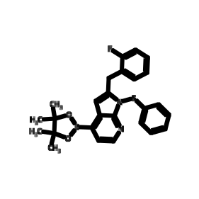 CC1(C)OB(c2ccnc3c2cc(Cc2ccccc2F)n3Sc2ccccc2)OC1(C)C